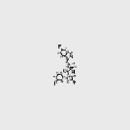 O=C([C@H]1CC2(Cn3ncc4cc(F)ccc43)CC1C2)N1CC(F)CC1c1cccc(F)c1